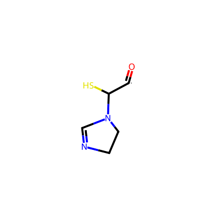 O=[C]C(S)N1C=NCC1